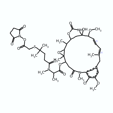 COc1cc2cc(c1Cl)N(C)C(=O)CC(OC(=O)C(C)N(C)C(=O)CCC(C)(C)SCC(=O)ON1C(=O)CCC1=O)C1(C)OC1C(C)C1CC(O)(NC(=O)O1)C(OC)/C=C/C=C(\C)C2